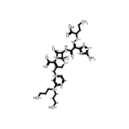 CCCC(ON=C(C(=O)NC1C(=O)N2C(C(=O)[O-])=C(C[n+]3ccnc(N(CCCO)CCCO)c3)CS[C@@H]12)c1nsc(N)n1)C(=O)O